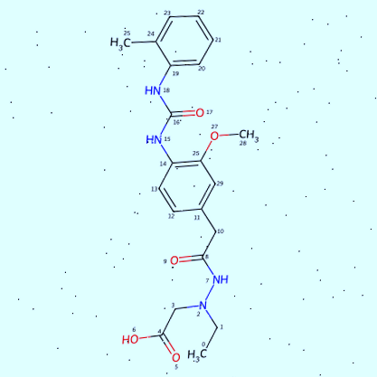 CCN(CC(=O)O)NC(=O)Cc1ccc(NC(=O)Nc2ccccc2C)c(OC)c1